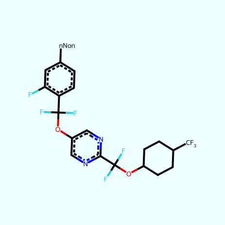 CCCCCCCCCc1ccc(C(F)(F)Oc2cnc(C(F)(F)OC3CCC(C(F)(F)F)CC3)nc2)c(F)c1